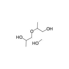 CC(O)COC(C)CO.CO